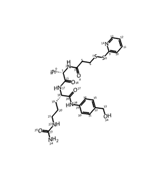 CC(C)[C@H](NC(=O)CCSSc1ccccn1)C(=O)N[C@@H](CCCNC(N)=O)C(=O)Nc1ccc(CO)cc1